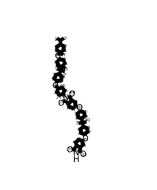 CC(C)C1=CCC(C)(OC2=CCC(C)(C(C)(C)c3ccc(Oc4ccc(N5C(=O)c6ccc(Oc7ccc(C(C)(C)c8ccc(Oc9ccc%10c(c9)C(=O)NC%10=O)cc8)cc7)cc6C5=O)cc4)cc3)C=C2)C=C1